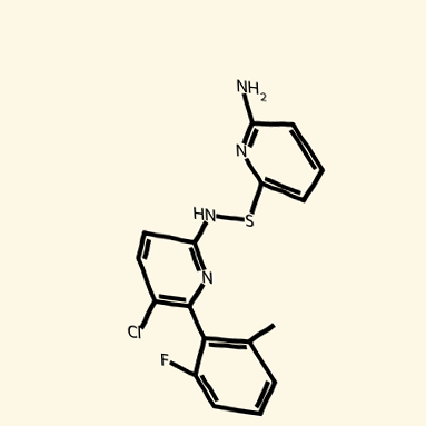 Cc1cccc(F)c1-c1nc(NSc2cccc(N)n2)ccc1Cl